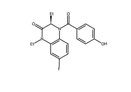 CC[C@@H]1C(=O)N(CC)c2cc(F)ccc2N1C(=O)c1ccc(O)cc1